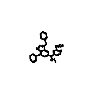 CSc1nccc(N(C)c2cc(-c3ccccc3)c3ncn(Cc4ccccc4)c3c2)n1